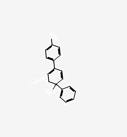 Cl.Cl.Nc1ccc(C2=CCC(N)(c3ccccc3)C=C2)cc1